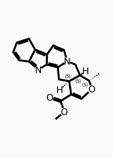 COC(=O)C1=CO[C@@H](C)[C@@H]2Cn3ccc4c5ccccc5nc-4c3C[C@H]12